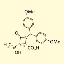 COc1ccc(C(c2ccc(OC)cc2)N2C(=O)[C@H]([C@@H](C)O)[C@H]2C(=O)O)cc1